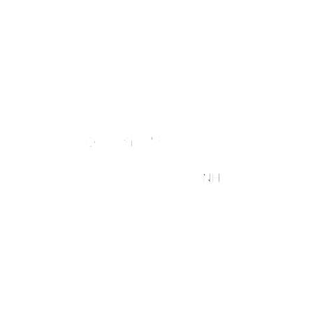 CCO[Si](C)(CC(C)C)OC(C)Nc1ccccc1